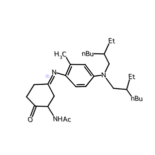 CCCCC(CC)CN(CC(CC)CCCC)c1ccc(/N=C2/CCC(=O)C(NC(C)=O)C2)c(C)c1